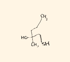 CCCC(C)(O)CS